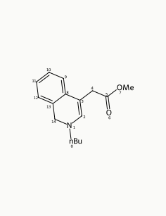 CCCCN1C=C(CC(=O)OC)c2ccccc2C1